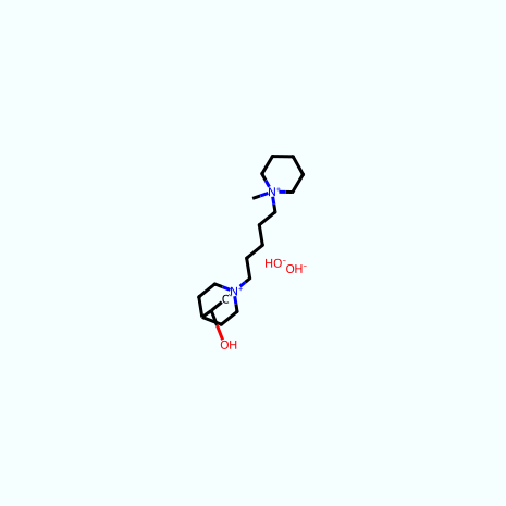 C[N+]1(CCCCC[N+]23CCC(CC2)C(O)C3)CCCCC1.[OH-].[OH-]